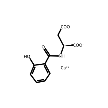 O=C([O-])C[C@H](NC(=O)c1ccccc1O)C(=O)[O-].[Ca+2]